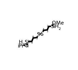 CO[SiH2]CCCSSCCC[SiH2]OC(C)C